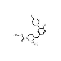 C[C@H]1CN(C(=O)OC(C)(C)C)CCN1Cc1cnc(Cl)c(N2CCC(F)CC2)c1